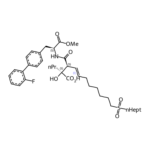 CCCCCCCS(=O)(=O)CCCCCC/C=C/[C@H](C(=O)N[C@@H](Cc1ccc(-c2ccccc2F)cc1)C(=O)OC)[C@@](O)(CCC)C(=O)O